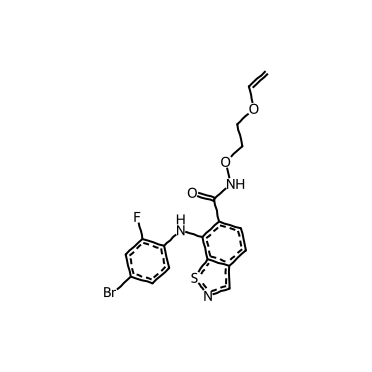 C=COCCONC(=O)c1ccc2cnsc2c1Nc1ccc(Br)cc1F